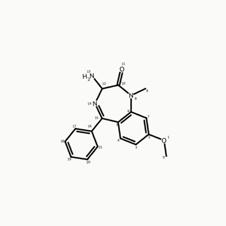 COc1ccc2c(c1)N(C)C(=O)C(N)N=C2c1ccccc1